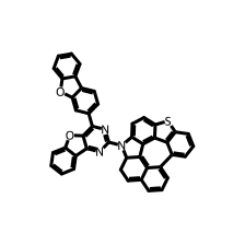 C1=c2cccc3c2=C2c4c(ccc5sc6cccc-3c6c45)N(c3nc(-c4ccc5c(c4)oc4ccccc45)c4oc5ccccc5c4n3)C2C1